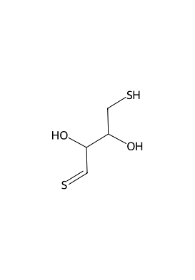 OC(C=S)C(O)CS